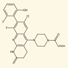 C=CC(=O)N1CCN(c2c3c(nc4c(F)c(-c5c(O)cccc5F)c(Cl)cc24)NC(=C)CC3)CC1